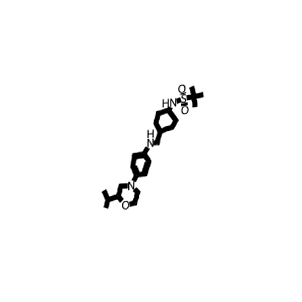 CC(C)C1CN(c2ccc(NCC3CCC(NS(=O)(=O)C(C)(C)C)CC3)cc2)CCO1